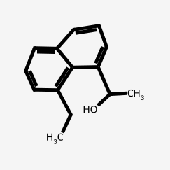 CCc1cccc2cccc(C(C)O)c12